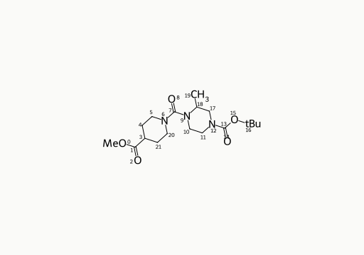 COC(=O)C1CCN(C(=O)N2CCN(C(=O)OC(C)(C)C)CC2C)CC1